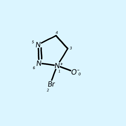 [O-][N+]1(Br)CCN=N1